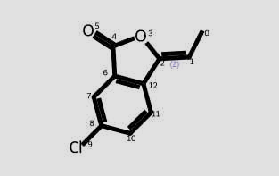 [CH2]/C=C1\OC(=O)c2cc(Cl)ccc21